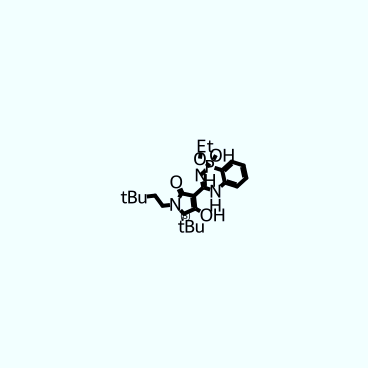 CCO[PH]1(O)N=C(C2=C(O)[C@H](C(C)(C)C)N(CCC(C)(C)C)C2=O)Nc2ccccc21